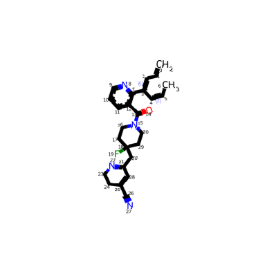 C=C/C=C(\C=C/C)c1ncccc1C(=O)N1CCC(F)(CC2=NCCC(C#N)=C2)CC1